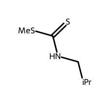 CSC(=S)NCC(C)C